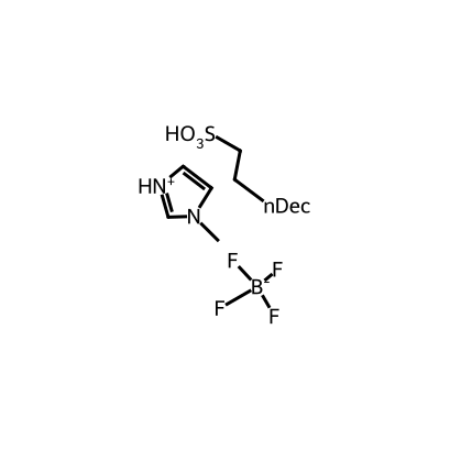 CCCCCCCCCCCCS(=O)(=O)O.Cn1cc[nH+]c1.F[B-](F)(F)F